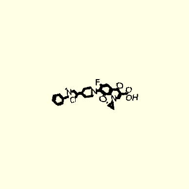 COc1c(N2CCC(=C(Cl)CN(C)Cc3ccccc3)CC2)c(F)cc2c(=O)c(C(=O)O)cn(C3CC3)c12